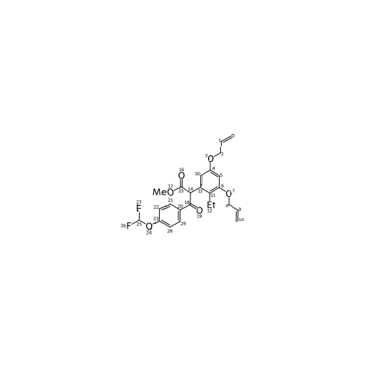 C=CCOc1cc(OCC=C)c(CC)c(C(C(=O)OC)C(=O)c2ccc(OC(F)F)cc2)c1